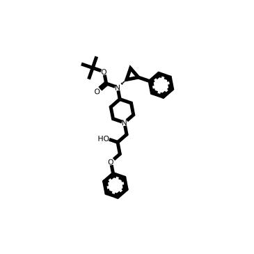 CC(C)(C)OC(=O)N(C1CCN(CC(O)COc2ccccc2)CC1)[C@@H]1CC1c1ccccc1